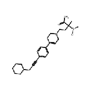 C[S+]([O-])C(C)(CCN1CC=C(c2ccc(C#CCC3CCCCC3)cc2)CC1)C(N)=O